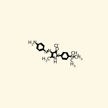 Cc1[nH]n(-c2ccc([N+](C)(C)C)cc2)c(=O)c1/N=N/c1ccc(N)cc1.[Cl-]